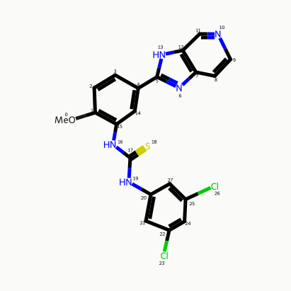 COc1ccc(-c2nc3ccncc3[nH]2)cc1NC(=S)Nc1cc(Cl)cc(Cl)c1